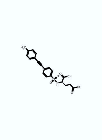 Cc1ccc(C#Cc2ccc(S(=O)(=O)N[C@H](CCC(=O)O)C(=O)O)cc2)cc1